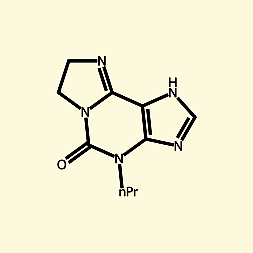 CCCN1C(=O)N2CCN=C2c2[nH]cnc21